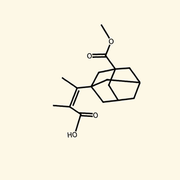 COC(=O)C12CC3CC(C1)CC(C(C)=C(C)C(=O)O)(C3)C2